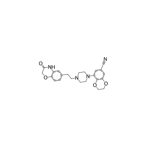 N#Cc1cc2c(c(N3CCN(CCc4ccc5c(c4)NC(=O)CO5)CC3)c1)OCCO2